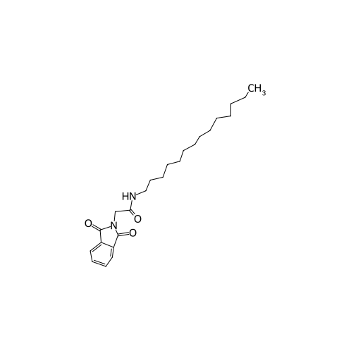 CCCCCCCCCCCCCCNC(=O)CN1C(=O)c2ccccc2C1=O